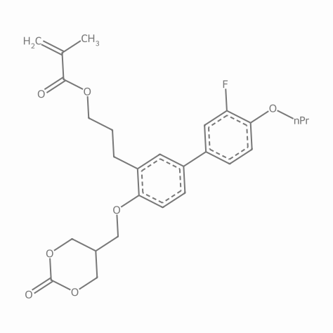 C=C(C)C(=O)OCCCc1cc(-c2ccc(OCCC)c(F)c2)ccc1OCC1COC(=O)OC1